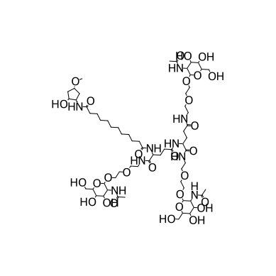 CO[C@H]1C[C@H](O)[C@H](NC(=O)CCCCCCCCCCC(=O)NC(CCC(=O)NC(CCC(=O)NCCOCCOC2OC(CO)C(O)C(O)C2NC(C)=O)C(=O)NCCOCCOC2OC(CO)C(O)C(O)C2NC(C)=O)C(=O)NCCOCCOC2OC(CO)C(O)C(O)C2NC(C)=O)C1